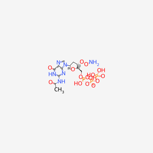 CC(=O)Nc1nc2c(ncn2[C@H]2C[C@H](OON)[C@@H](COP(=O)(O)OP(=O)(O)OP(=O)(O)O)O2)c(=O)[nH]1